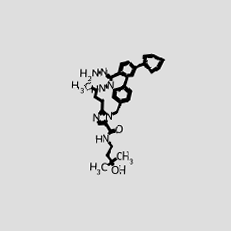 CCCCc1ncc(C(=O)NCCC(C)(C)O)n1Cc1ccc(-c2cc(-c3ccccc3)ccc2/C(N=N)=N/N)cc1